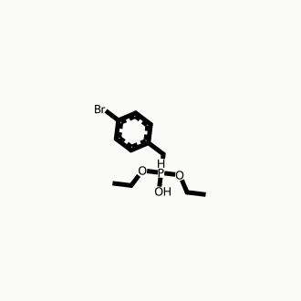 CCO[PH](O)(Cc1ccc(Br)cc1)OCC